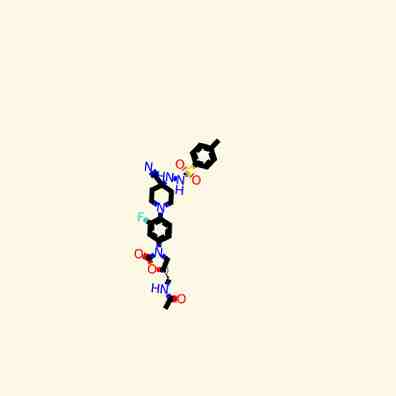 CC(=O)NC[C@H]1CN(c2ccc(N3CCC(C#N)(NNS(=O)(=O)c4ccc(C)cc4)CC3)c(F)c2)C(=O)O1